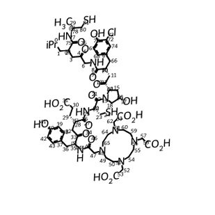 CC(C)C[C@H](CC(=O)CNC(=O)[C@@H](CC(=O)[C@@H]1C[C@@H](O)CN1C(=O)[C@H](CS)NC(=O)[C@@H](CCC(=O)O)CC(=O)[C@H](Cc1ccc(O)cc1)NC(=O)CN1CCN(CC(=O)O)CCN(CC(=O)O)CCN(CC(=O)O)CC1)Cc1ccc(O)c(Cl)c1)C(=O)N[C@H](C)CS